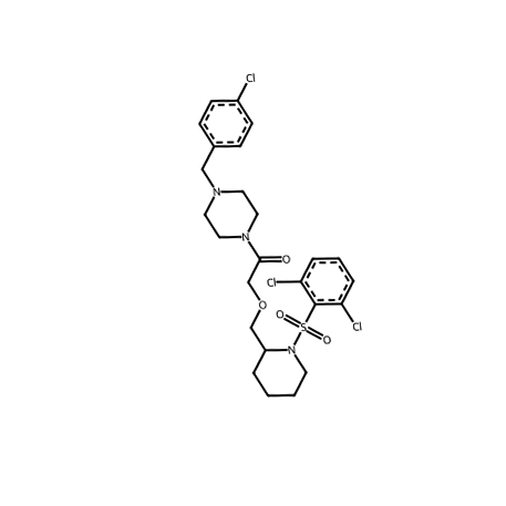 O=C(COCC1CCCCN1S(=O)(=O)c1c(Cl)cccc1Cl)N1CCN(Cc2ccc(Cl)cc2)CC1